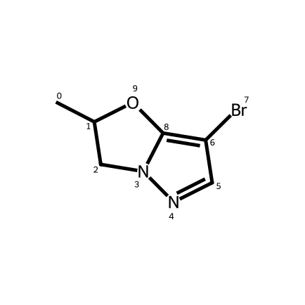 CC1Cn2ncc(Br)c2O1